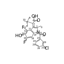 Cc1c(C(C(=O)O)C(C)(C)C)c2c(F)c(O)c(F)cc2n1C(=O)c1cccc(Cl)c1